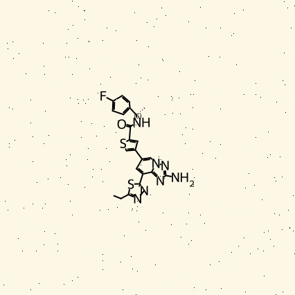 CCc1nnc(-c2cc(-c3csc(C(=O)N[C@@H](C)c4ccc(F)cc4)c3)cn3nc(N)nc23)s1